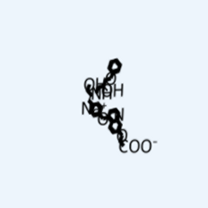 O=C([O-])COc1ccc2c(Oc3ccc(C[C@@H](CO)NC[C@H](O)COc4ccccc4)cc3)ccnc2c1.[Na+]